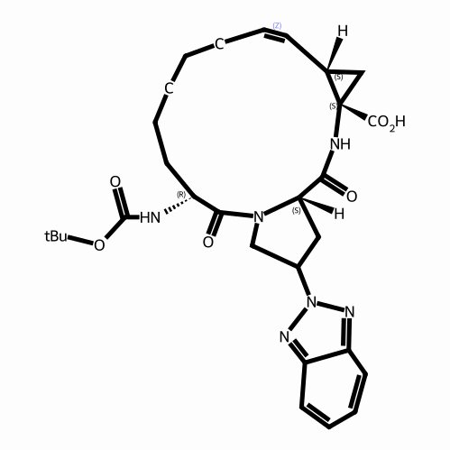 CC(C)(C)OC(=O)N[C@@H]1CCCCC/C=C\[C@@H]2C[C@]2(C(=O)O)NC(=O)[C@@H]2CC(n3nc4ccccc4n3)CN2C1=O